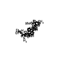 CCN(CC)CCNC(=O)c1c(C)[nH]c(/C=C2\C(=O)Nc3ccc(C(NS(=O)(=O)c4cc5c(s4)S(=O)(=O)[C@@H](C)C[C@@H]5N(CC)C(=O)OC)[S+]([O-])c4ccccc4)cc32)c1C